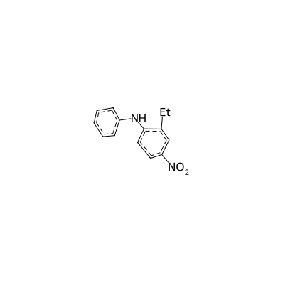 CCc1cc([N+](=O)[O-])ccc1Nc1ccccc1